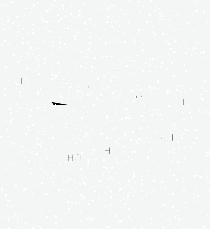 CC(=O)[C@H]1O[C@H]2OC(C)(C)O[C@H]2[C@@H]1O